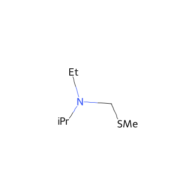 CCN(CSC)C(C)C